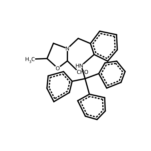 CC1CN(Cc2ccccc2NC(c2ccccc2)(c2ccccc2)c2ccccc2)C(C=O)O1